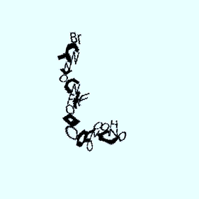 Cc1cc(Br)cnc1N1CC(OC2CCN(CC(F)(F)CO[C@H]3C[C@H](Oc4ccc5c(c4)C(=O)N(C4CCC(=O)NC4=O)C5=O)C3)CC2)C1